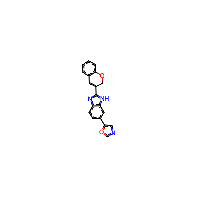 C1=C(c2nc3ccc(-c4cnco4)cc3[nH]2)COc2ccccc21